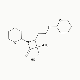 CC1(CO)C(=O)N(C2CCCCO2)C1CCOC1CCCCO1